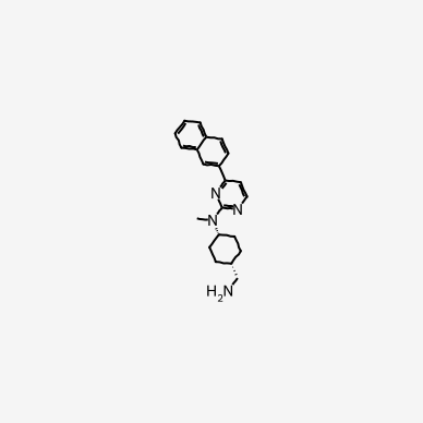 CN(c1nccc(-c2ccc3ccccc3c2)n1)[C@H]1CC[C@@H](CN)CC1